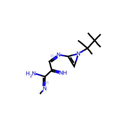 C/N=C(\N)C(=N)/C=N\C1=CN1C(C)(C)C(C)(C)C